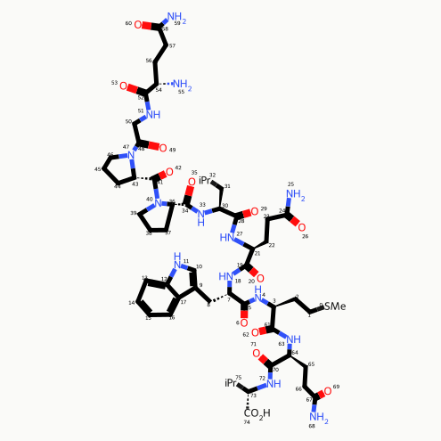 CSCC[C@H](NC(=O)[C@H](Cc1c[nH]c2ccccc12)NC(=O)[C@H](CCC(N)=O)NC(=O)[C@H](CC(C)C)NC(=O)[C@@H]1CCCN1C(=O)[C@@H]1CCCN1C(=O)CNC(=O)[C@@H](N)CCC(N)=O)C(=O)N[C@@H](CCC(N)=O)C(=O)N[C@H](C(=O)O)C(C)C